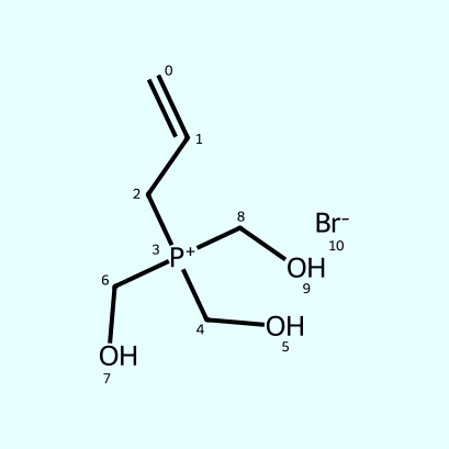 C=CC[P+](CO)(CO)CO.[Br-]